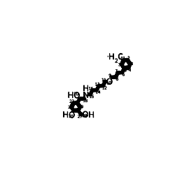 [CH2]c1cccc(CCCCOCCCCCCNCC(O)c2ccc(O)c(CO)c2)c1